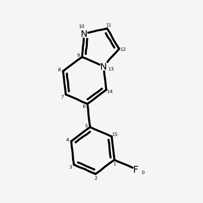 Fc1cccc(-c2ccc3nccn3c2)c1